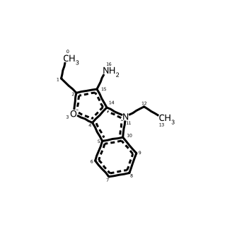 CCc1oc2c3ccccc3n(CC)c2c1N